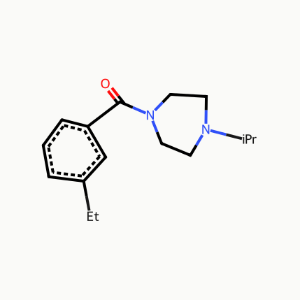 CCc1cccc(C(=O)N2CCN(C(C)C)CC2)c1